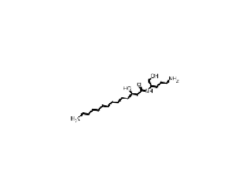 CCCCCCCCCCCC(O)CC(=O)NC(CO)CCCN